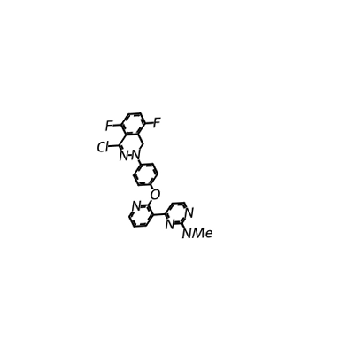 CNc1nccc(-c2cccnc2Oc2ccc(N3Cc4c(F)ccc(F)c4C(Cl)=N3)cc2)n1